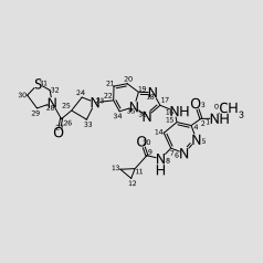 CNC(=O)c1nnc(NC(=O)C2CC2)cc1Nc1nc2ccc(N3CC(C(=O)N4CCSC4)C3)cn2n1